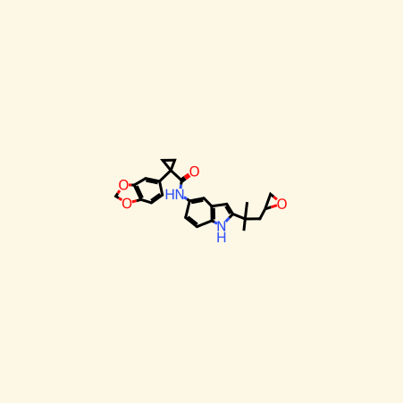 CC(C)(CC1CO1)c1cc2cc(NC(=O)C3(c4ccc5c(c4)OCO5)CC3)ccc2[nH]1